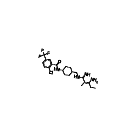 CC/C(N)=C(\C)C(=N)NC[C@H]1CC[C@H](NC(=O)c2cc(C(F)(F)F)ccc2Cl)CC1